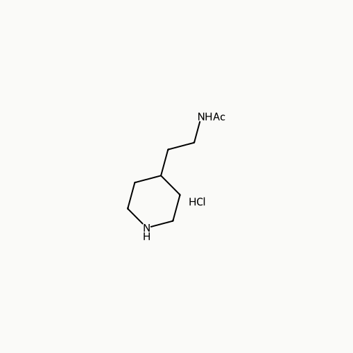 CC(=O)NCCC1CCNCC1.Cl